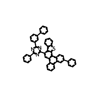 c1ccc(-c2cccc(-c3nc(-c4ccccc4)nc(-c4cc5c6ccccc6c6cc(-c7ccccc7)ccc6c5c5sc6ccccc6c45)n3)c2)cc1